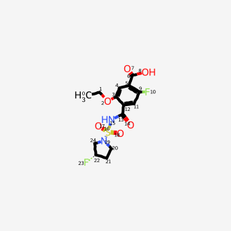 CCOc1cc(C(=O)O)c(F)cc1C(=O)NS(=O)(=O)N1CC[C@H](F)C1